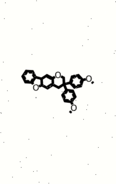 COc1ccc(C2(c3ccc(OC)cc3)COC3=CC4c5ccccc5OC4C=C3C2)cc1